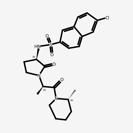 C[C@@H]1CCCCN1C(=O)[C@@H](C)N1CC[C@@H](NS(=O)(=O)c2ccc3cc(Cl)ccc3c2)C1=O